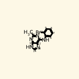 Cc1nc(Nc2ccccc2Br)c2nc[nH]c2n1